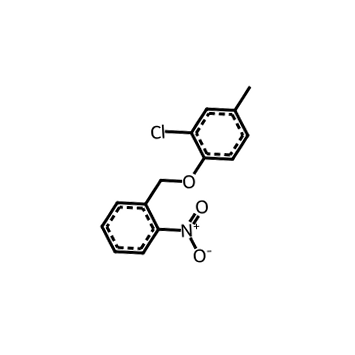 Cc1ccc(OCc2ccccc2[N+](=O)[O-])c(Cl)c1